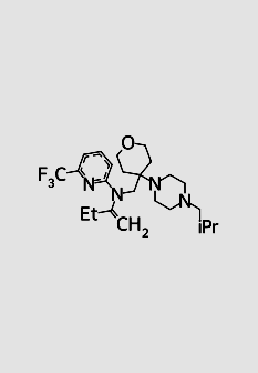 C=C(CC)N(CC1(N2CCN(CC(C)C)CC2)CCOCC1)c1cccc(C(F)(F)F)n1